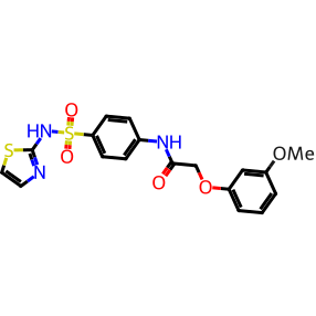 COc1cccc(OCC(=O)Nc2ccc(S(=O)(=O)Nc3nccs3)cc2)c1